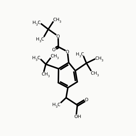 CC(C(=O)O)c1cc(C(C)(C)C)c(OC(=O)OC(C)(C)C)c(C(C)(C)C)c1